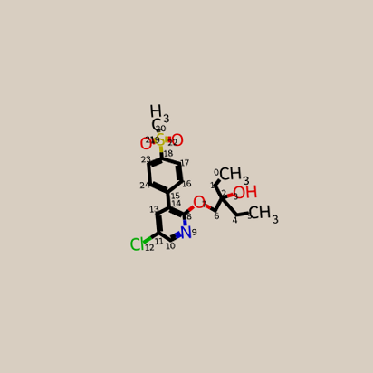 CCC(O)(CC)COc1ncc(Cl)cc1-c1ccc(S(C)(=O)=O)cc1